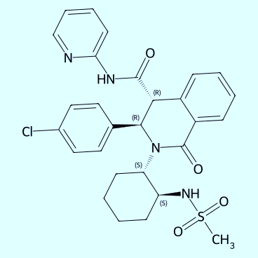 CS(=O)(=O)N[C@H]1CCCC[C@@H]1N1C(=O)c2ccccc2[C@@H](C(=O)Nc2ccccn2)[C@@H]1c1ccc(Cl)cc1